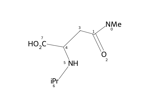 CNC(=O)CC(NC(C)C)C(=O)O